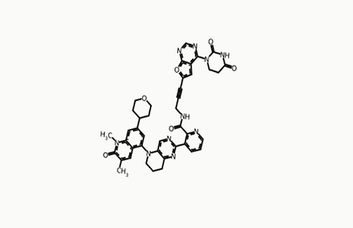 Cc1cc2c(N3CCCc4nc(-c5cccnc5C(=O)NCC#Cc5cc6c(N7CCC(=O)NC7=O)ncnc6o5)ncc43)cc(C3CCOCC3)cc2n(C)c1=O